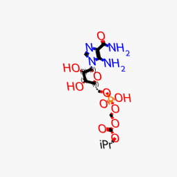 CC(C)OC(=O)OCOP(=O)(O)OC[C@H]1O[C@@H](n2cnc(C(N)=O)c2N)[C@H](O)[C@@H]1O